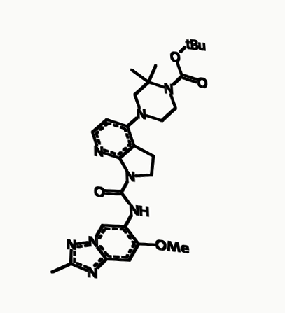 COc1cc2nc(C)nn2cc1NC(=O)N1CCc2c(N3CCN(C(=O)OC(C)(C)C)C(C)(C)C3)ccnc21